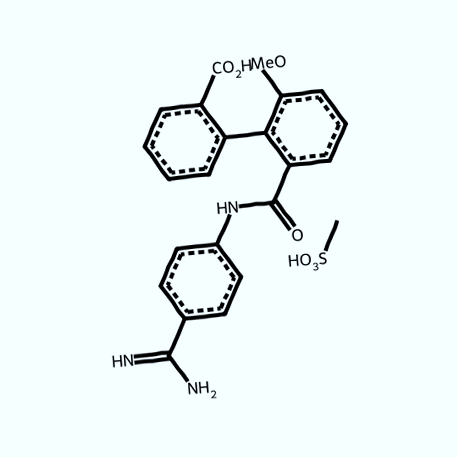 COc1cccc(C(=O)Nc2ccc(C(=N)N)cc2)c1-c1ccccc1C(=O)O.CS(=O)(=O)O